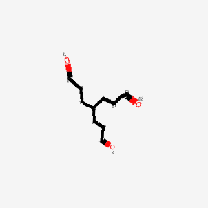 O=CCCC(CCC=O)CCC=O